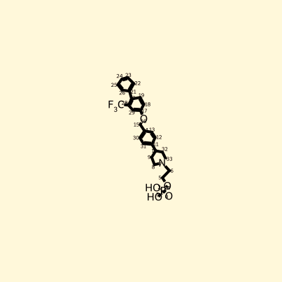 O=P(O)(O)OCCN1CCC(c2ccc(COc3ccc(-c4ccccc4)c(C(F)(F)F)c3)cc2)CC1